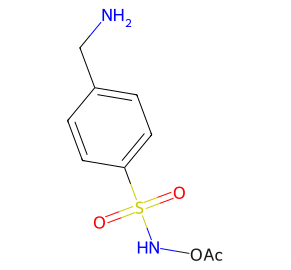 CC(=O)ONS(=O)(=O)c1ccc(CN)cc1